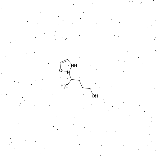 CC(CCCO)N1NC=CO1